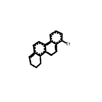 [CH2]Cc1cccc2c1=CCc1c3c(ccc1=2)=CCCC3